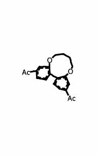 CC(=O)c1ccc2c(c1)OCCCCOc1cc(C(C)=O)ccc1-2